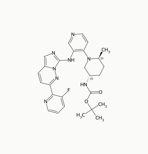 C[C@H]1CC[C@H](NC(=O)OC(C)(C)C)CN1c1ccncc1Nc1ncc2ccc(-c3ncccc3F)nn12